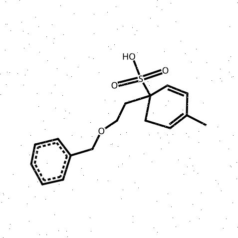 CC1=CCC(CCOCc2ccccc2)(S(=O)(=O)O)C=C1